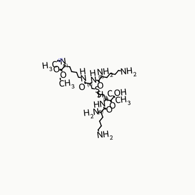 C/C=N\[C@@H](CCCCNC(=O)[C@H](CSSC[C@H](NC(=O)[C@H](N)CCCCN)C(=O)C(C)(C)O)NC(=O)[C@H](N)CCCCN)C(=O)OCC